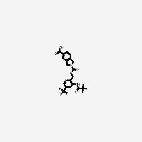 CC(C)(C)C(=O)Nc1cc(C(F)(F)F)cnc1COC(=O)N1Cc2ccc(C(=O)O)cc2C1